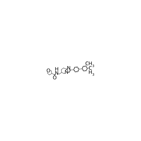 Cc1ccc(-c2ccc(-c3cn4c(n3)CCC(CNC(=O)C3CCOC3)C4)cc2)cc1C